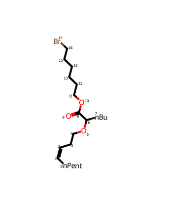 CCCCC/C=C\CCOC(CCCC)C(=O)OCCCCCCBr